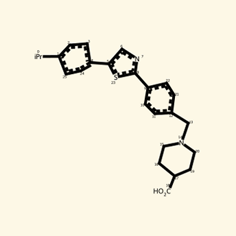 CC(C)c1ccc(-c2cnc(-c3ccc(CN4CCC(C(=O)O)CC4)cc3)s2)cc1